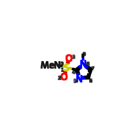 CNS(=O)(=O)c1nccn1C